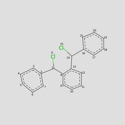 ClC(c1ccccc1)c1[c]cccc1C(Cl)c1ccccc1